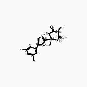 Cc1cc(I)cc(-c2cnc([C@]3(C)CC(=O)N(C)C(=N)N3)s2)c1